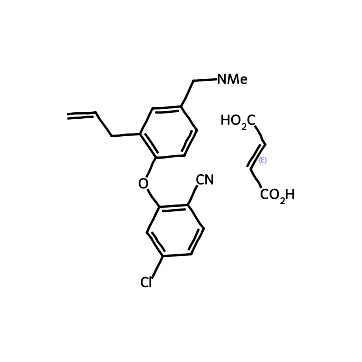 C=CCc1cc(CNC)ccc1Oc1cc(Cl)ccc1C#N.O=C(O)/C=C/C(=O)O